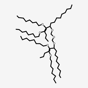 CCCCCCCCCC(OCOCOC(CCCCCCCCC)C(OCCCCCCCC)=C(CCC)OCCCCCCCC)C(OCCCCCCCC)=C(CCC)OCCCCCCCC